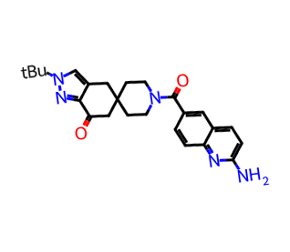 CC(C)(C)n1cc2c(n1)C(=O)CC1(CCN(C(=O)c3ccc4nc(N)ccc4c3)CC1)C2